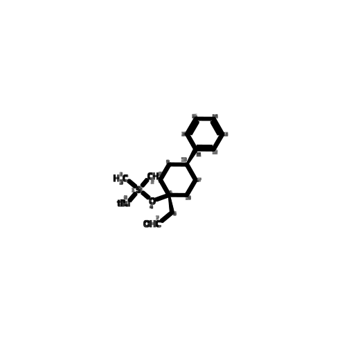 CC(C)(C)[Si](C)(C)O[C@]1(CC=O)CC[C@@H](c2ccccc2)CC1